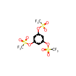 O=S(=O)(Oc1cc(OS(=O)(=O)C(F)(F)F)cc(OS(=O)(=O)C(F)(F)F)c1)C(F)(F)F